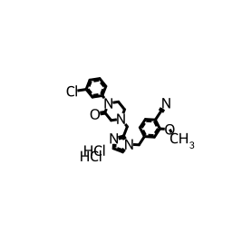 COc1cc(Cn2ccnc2CN2CCN(c3cccc(Cl)c3)C(=O)C2)ccc1C#N.Cl.Cl